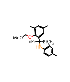 CCCC(CC)(Pc1ccc(C)cc1C(F)(F)F)c1cc(C)cc(C)c1OCOC